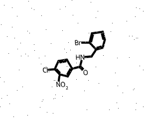 O=C(NCc1ccccc1Br)c1ccc(Cl)c([N+](=O)[O-])c1